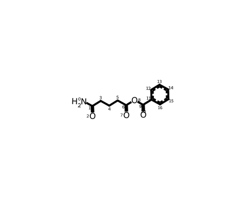 NC(=O)CCCC(=O)OC(=O)c1ccccc1